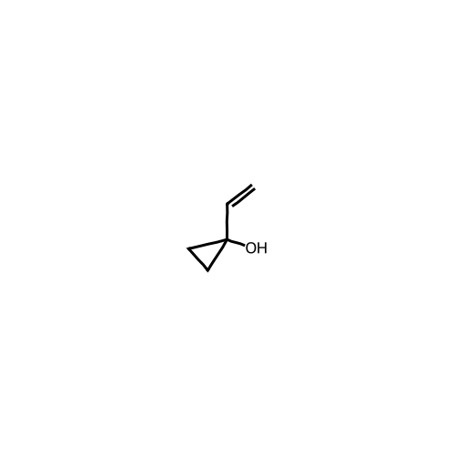 C=CC1(O)CC1